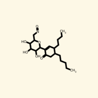 CCCCCC1CC(=O)C(C2OC(CN=O)C(O)C(O)C2O)=CC1CCCC